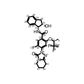 C[C@H](Oc1cc(-n2nc3n(c2=O)CCCC3)c(F)cc1C(=O)N[C@H]1c2ccccc2C[C@@H]1O)C(F)(F)F